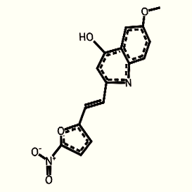 COc1ccc2nc(/C=C/c3ccc([N+](=O)[O-])o3)cc(O)c2c1